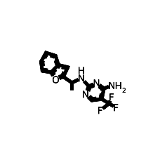 CC(Nc1ncc(C(F)(F)F)c(N)n1)c1cc2ccccc2o1